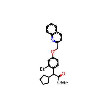 CCc1cc(OCc2ccc3ccccc3n2)ccc1C(C(=O)OC)C1CCCC1